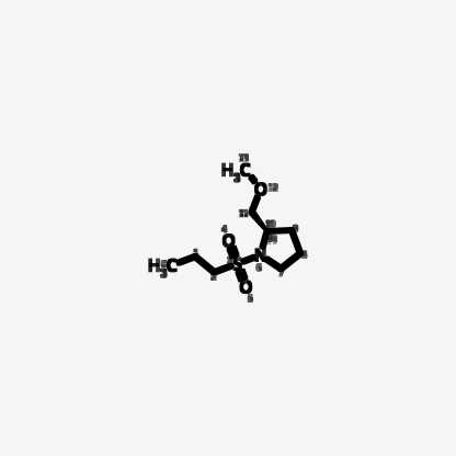 CCCS(=O)(=O)N1CCC[C@@H]1COC